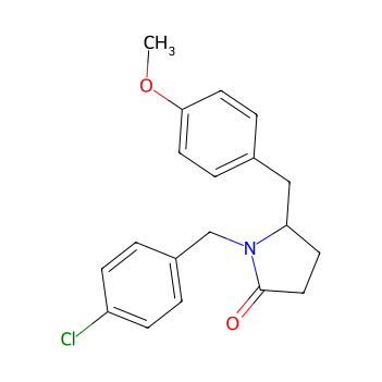 COc1ccc(CC2CCC(=O)N2Cc2ccc(Cl)cc2)cc1